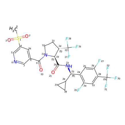 CS(=O)(=O)c1cncc(C(=O)N2CC[C@H](C(F)(F)F)[C@H]2C(=O)N[C@@H](c2cc(F)c(C(F)(F)F)cc2F)C2CC2)c1